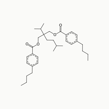 CCCCc1ccc(C(=O)OCC(CCC(C)C)(COC(=O)c2ccc(CCCC)cc2)C(C)C)cc1